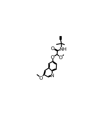 C#CC(C)(C)NC(=O)C(OC)Oc1ccc2ncc(OC)cc2c1